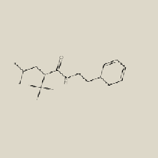 CC(C)CC(C(=O)NCCC1C=CC=CC1)C(C)(C)C